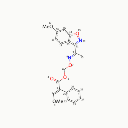 COC=C(C(=O)OCON=C(C)c1noc2cc(OC)ccc12)c1ccccc1